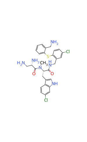 CN(C(=O)[C@@H](N)CN)[C@@H](Cc1c[nH]c2cc(Cl)ccc12)C(=O)NCc1cc(Cl)ccc1Sc1ccccc1CN